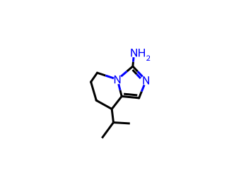 CC(C)C1CCCn2c1cnc2N